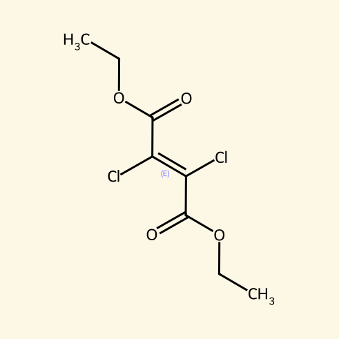 CCOC(=O)/C(Cl)=C(\Cl)C(=O)OCC